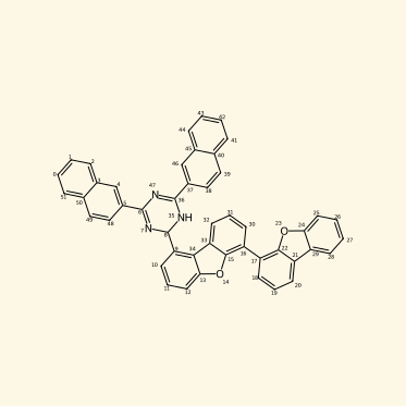 c1ccc2cc(C3=NC(c4cccc5oc6c(-c7cccc8c7oc7ccccc78)cccc6c45)NC(c4ccc5ccccc5c4)=N3)ccc2c1